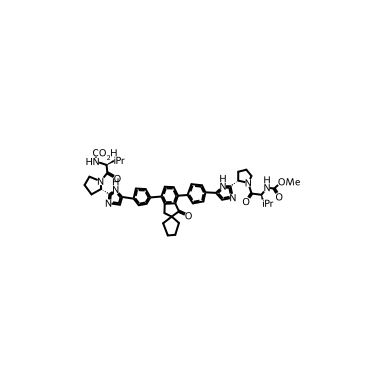 COC(=O)N[C@H](C(=O)N1CCC[C@H]1c1ncc(-c2ccc(-c3ccc(-c4ccc(-c5cnc([C@@H]6CCCN6C(=O)[C@@H](NC(=O)O)C(C)C)[nH]5)cc4)c4c3C(=O)C3(CCCC3)C4)cc2)[nH]1)C(C)C